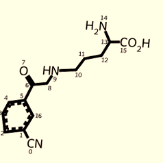 N#Cc1cccc(C(=O)CNCCCC(N)C(=O)O)c1